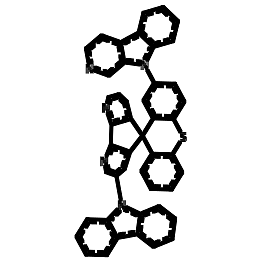 c1ccc2c(c1)Sc1ccc(-n3c4ccccc4c4ccncc43)cc1C21c2cccnc2-c2ncc(-n3c4ccccc4c4ccccc43)cc21